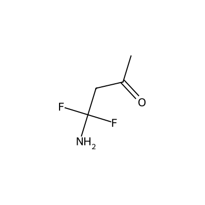 CC(=O)CC(N)(F)F